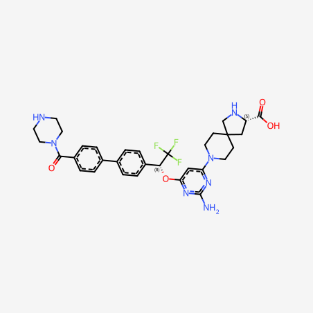 Nc1nc(O[C@H](c2ccc(-c3ccc(C(=O)N4CCNCC4)cc3)cc2)C(F)(F)F)cc(N2CCC3(CC2)CN[C@H](C(=O)O)C3)n1